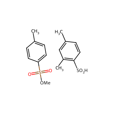 COS(=O)(=O)c1ccc(C)cc1.Cc1ccc(S(=O)(=O)O)c(C)c1